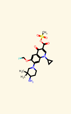 CC1(C)CN(c2cc3c(cc2OCF)c(=O)c(C(=O)OS(C)(=O)=O)cn3C2CC2)CCC1N